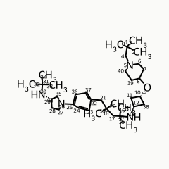 CC(C)(C)CN1CCC(O[C@H]2C[C@H](NC(C)(C)CC(C)(C)Cc3ccc(N4CC[C@H](NC(C)(C)C)C4)cc3)C2)CC1